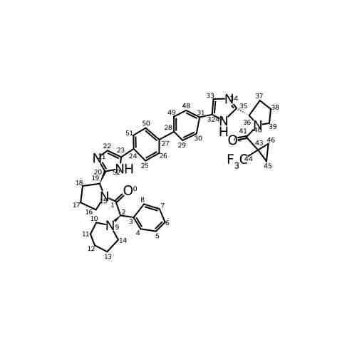 O=C([C@@H](c1ccccc1)N1CCCCC1)N1CCC[C@H]1c1ncc(-c2ccc(-c3ccc(-c4cnc([C@@H]5CCCN5C(=O)C5(C(F)(F)F)CC5)[nH]4)cc3)cc2)[nH]1